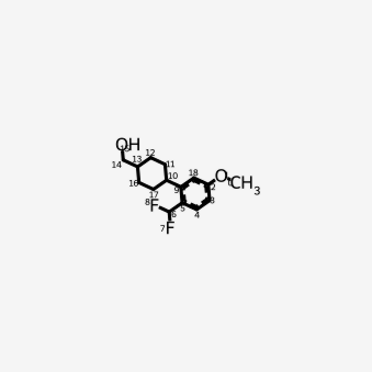 COc1ccc(C(F)F)c(C2CCC(CO)CC2)c1